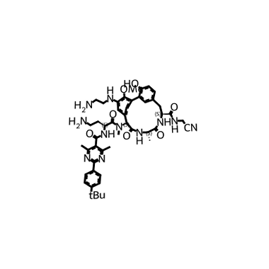 COc1c(NCCN)cc2cc1-c1cc(ccc1O)C[C@@H](C(=O)NCC#N)NC(=O)[C@H](C)NC(=O)[C@H]2N(C)C(=O)[C@H](CCN)NC(=O)c1c(C)nc(-c2ccc(C(C)(C)C)cc2)nc1C